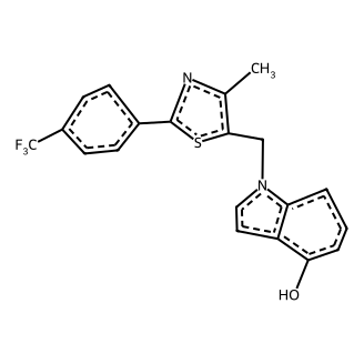 Cc1nc(-c2ccc(C(F)(F)F)cc2)sc1Cn1ccc2c(O)cccc21